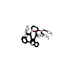 CCN(CC)C1CCCN(C(C(N)=O)c2c(-c3ccccc3)nc3ccccc3c2C(=O)O)C1